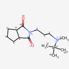 CN(CCCN1C(=O)C2CCCC2C1=O)[Si](C)(C)C